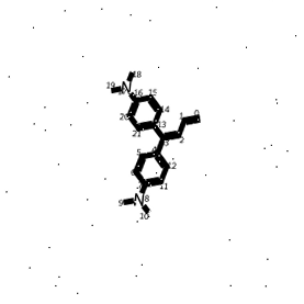 C=CC=C(c1ccc(N(C)C)cc1)c1ccc(N(C)C)cc1